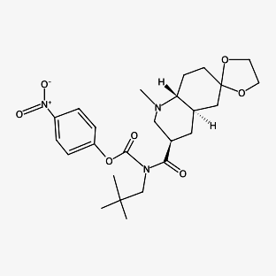 CN1C[C@H](C(=O)N(CC(C)(C)C)C(=O)Oc2ccc([N+](=O)[O-])cc2)C[C@@H]2CC3(CC[C@H]21)OCCO3